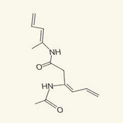 C=C/C=C(\C)NC(=O)C/C(=C\C=C)NC(C)=O